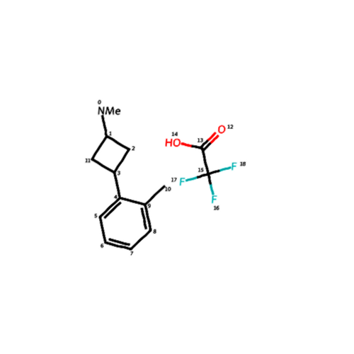 CNC1CC(c2ccccc2C)C1.O=C(O)C(F)(F)F